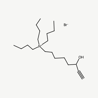 C#CC(O)CCCCC[N+](CCCC)(CCCC)CCCC.[Br-]